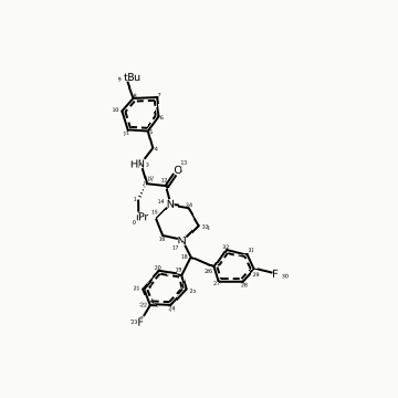 CC(C)C[C@H](NCc1ccc(C(C)(C)C)cc1)C(=O)N1CCN(C(c2ccc(F)cc2)c2ccc(F)cc2)CC1